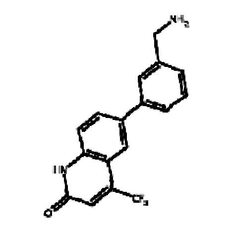 NCc1cccc(-c2ccc3[nH]c(=O)cc(C(F)(F)F)c3c2)c1